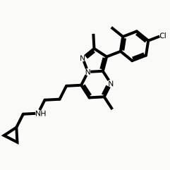 Cc1cc(CCCNCC2CC2)n2nc(C)c(-c3ccc(Cl)cc3C)c2n1